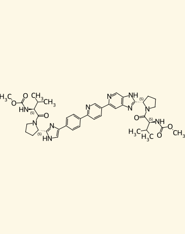 COC(=O)N[C@H](C(=O)N1CCC[C@H]1c1nc(-c2ccc(-c3ccc(-c4cc5nc([C@@H]6CCCN6C(=O)[C@@H](NC(=O)OC)C(C)C)[nH]c5cn4)cn3)cc2)c[nH]1)C(C)C